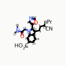 CCCC(C#N)CCc1c(-c2cnco2)n(CC(=O)N(C)C)c2cc(C(=O)O)ccc12